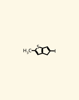 Cc1cc2c(s1)C=C(I)C2